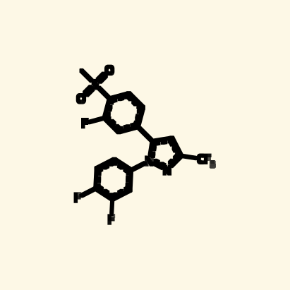 CS(=O)(=O)c1ccc(-c2cc(C(F)(F)F)nn2-c2ccc(F)c(F)c2)cc1F